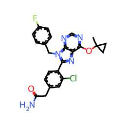 CC1(Oc2ncnc3c2nc(-c2ccc(CC(N)=O)cc2Cl)n3Cc2ccc(F)cc2)CC1